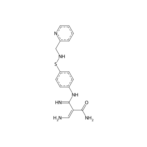 N=C(Nc1ccc(SNCc2ccccn2)cc1)/C(=C\N)C(N)=O